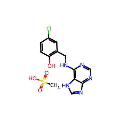 CS(=O)(=O)O.Oc1ccc(Cl)cc1CNc1ncnc2nc[nH]c12